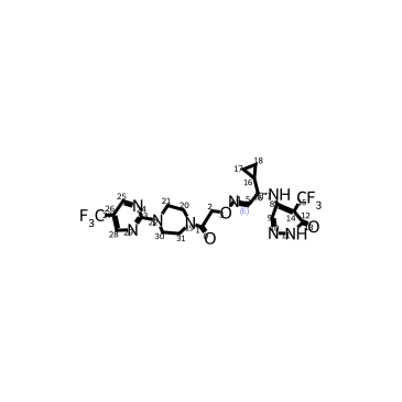 O=C(CO/N=C/[C@@H](Nc1cn[nH]c(=O)c1C(F)(F)F)C1CC1)N1CCN(c2ncc(C(F)(F)F)cn2)CC1